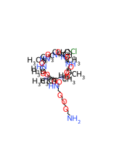 C/C=C(\C)[C@H]1OC(=O)C(C)(C)NC(=O)[C@H]([C@H](C)CC)NC(=O)CN(C)C(=O)[C@@H](Cc2ccc(Cl)cc2)N(C)C(=O)[C@H](C)NC(=O)[C@@H](CC(C)C)OC(=O)/C(C)=C/C[C@H](OC(=O)NCCCOCCOCCOCCCN)[C@@H]1C